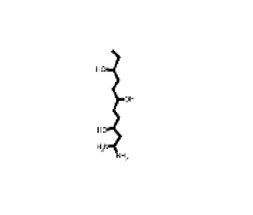 CCC(O)CCC(O)CCC(O)CC(N)N